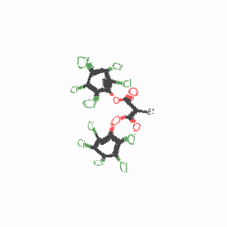 CCC(C(=O)Oc1c(Cl)c(Cl)c(Cl)c(Cl)c1Cl)C(=O)Oc1c(Cl)c(Cl)c(Cl)c(Cl)c1Cl